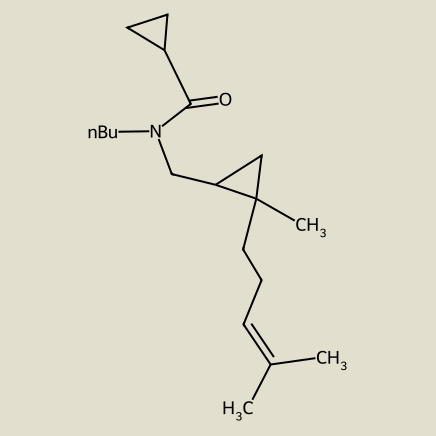 CCCCN(CC1CC1(C)CCC=C(C)C)C(=O)C1CC1